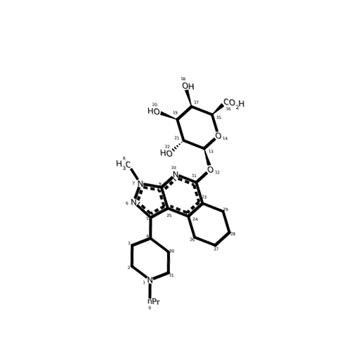 CCCN1CCC(c2nn(C)c3nc(O[C@@H]4O[C@H](C(=O)O)[C@H](O)[C@H](O)[C@H]4O)c4c(c23)CCCC4)CC1